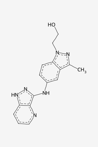 Cc1nn(CCO)c2ccc(Nc3n[nH]c4cccnc34)cc12